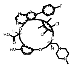 Cc1c(Cl)c2c(Cl)c(C)c1-c1c(-c3ccc(F)cc3)sc3ncnc(c13)O[C@@H](C(=O)O)Cc1cc(ccc1O)OC[C@@H](CN1CCN(C)CC1)O2